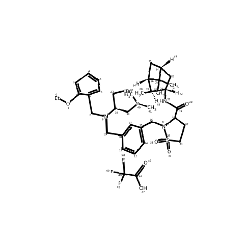 CCOc1ccccc1CN(Cc1cccc(CN2C(C(=O)N[C@H]3C[C@H]4C[C@@H]([C@@H]3C)C4(C)C)CCS2(=O)=O)c1)[C@H](CN(C)C)CC(C)(C)C.O=C(O)C(F)(F)F